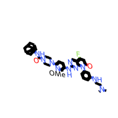 COc1nc(N2CCN(C(=O)NC34CC5CC(CC(C5)C3)C4)CC2)ccc1Nc1ncc2c(F)cc(=O)n(-c3cccc(NCCN(C)C)c3)c2n1